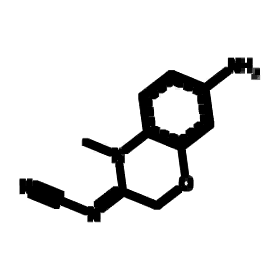 CN1C(=NC#N)COc2cc(N)ccc21